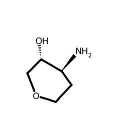 N[C@H]1CCOC[C@@H]1O